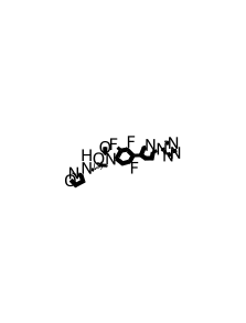 O=C1O[C@@H](CNc2ccon2)CN1c1cc(F)c(-c2ccc(-n3cnnn3)nc2)c(F)c1F